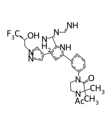 CC(=O)N1CCN(c2cccc(-c3cc(-c4cnn(C[C@H](O)C(F)(F)F)c4)c(/C(N)=N\C=N)[nH]3)c2)C(=O)C1(C)C